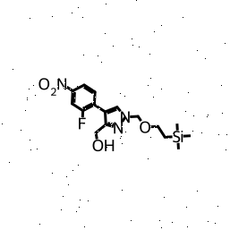 C[Si](C)(C)CCOCn1cc(-c2ccc([N+](=O)[O-])cc2F)c(CO)n1